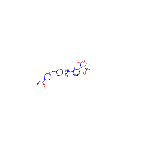 C=CC(=O)N1CCN(Cc2ccc([C@H](C)Nc3nccc(N4C(=O)OCC4[C@@H](C)OC)n3)cc2)CC1